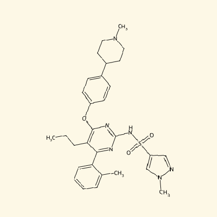 CCCc1c(Oc2ccc(C3CCN(C)CC3)cc2)nc(NS(=O)(=O)c2cnn(C)c2)nc1-c1ccccc1C